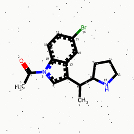 CC(=O)n1cc(C(C)C2CCCN2)c2cc(Br)ccc21